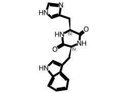 O=C1N[C@@H](Cc2c[nH]c3ccccc23)C(=O)N[C@H]1Cc1c[nH]cn1